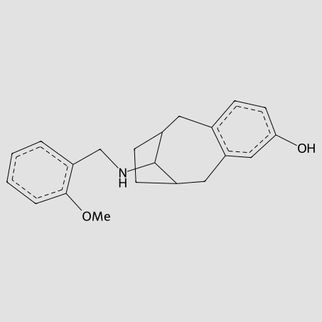 COc1ccccc1CNC1C2CCC1Cc1cc(O)ccc1C2